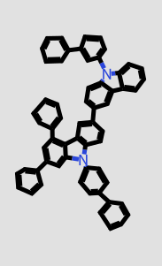 c1ccc(-c2ccc(-n3c4ccc(-c5ccc6c(c5)c5ccccc5n6-c5cccc(-c6ccccc6)c5)cc4c4c(-c5ccccc5)cc(-c5ccccc5)cc43)cc2)cc1